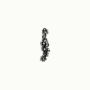 O=c1c2ccc(OCC3CCOCC3)cc2ccn1-c1ccc(N2CC[C@@H](N3CCCC3)C2)c(F)c1